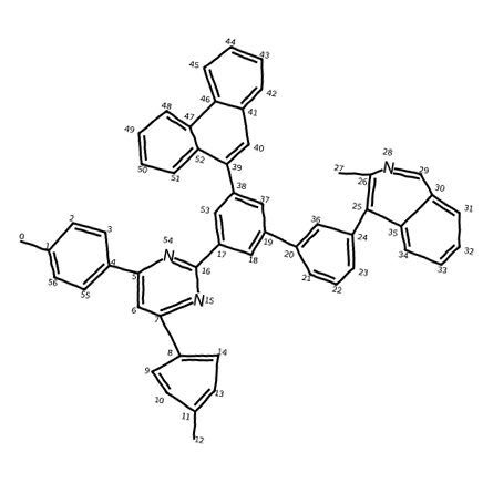 Cc1ccc(-c2cc(-c3ccc(C)cc3)nc(-c3cc(-c4cccc(-c5c(C)ncc6ccccc56)c4)cc(-c4cc5ccccc5c5ccccc45)c3)n2)cc1